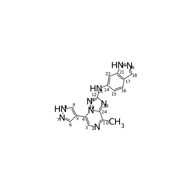 Cc1ncc(-c2cn[nH]c2)n2nc(Nc3ccc4cn[nH]c4c3)nc12